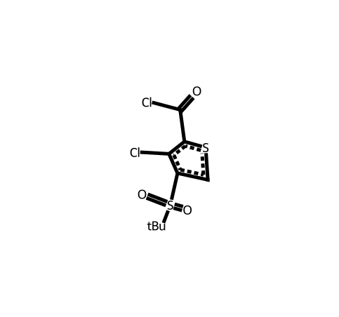 CC(C)(C)S(=O)(=O)c1csc(C(=O)Cl)c1Cl